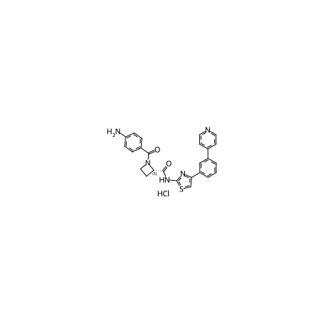 Cl.Nc1ccc(C(=O)N2CC[C@H]2C(=O)Nc2nc(-c3cccc(-c4ccncc4)c3)cs2)cc1